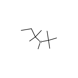 CCC(C)(C)N(C)C(C)(C)C